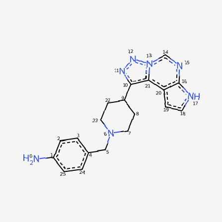 Nc1ccc(CN2CCC(c3nnn4cnc5[nH]ccc5c34)CC2)cc1